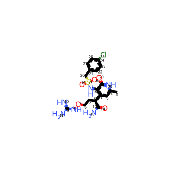 Cc1cc(C(CCONC(=N)N)C(N)=O)c(NS(=O)(=O)Cc2ccc(Cl)cc2)c(=O)[nH]1